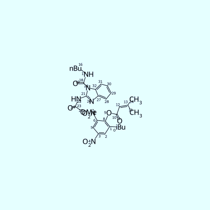 CCC(C)c1cc([N+](=O)[O-])cc([N+](=O)[O-])c1OC(=O)C=C(C)C.CCCCNC(=O)n1c(NC(=O)OC)nc2ccccc21